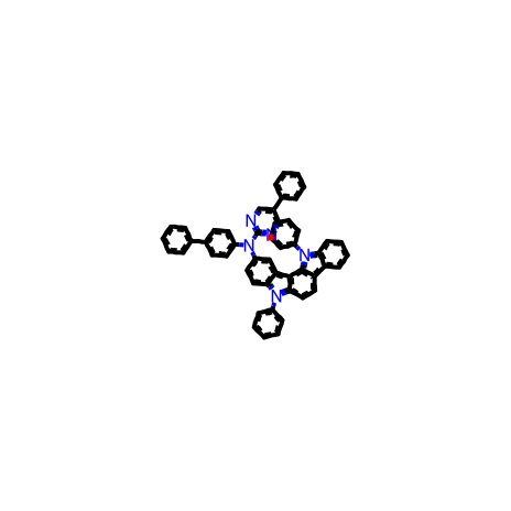 c1ccc(-c2ccc(N(c3ccc4c(c3)c3c(ccc5c6ccccc6n(-c6ccccc6)c53)n4-c3ccccc3)c3ncc(-c4ccccc4)cn3)cc2)cc1